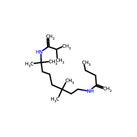 C=C(CCC)NCCC(C)(C)CCCC(C)(C)NC(=C)C(C)C